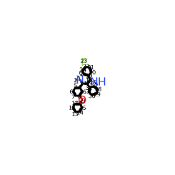 CN(C)C(c1cccc(Oc2ccccc2)c1)c1c(-c2ccc(F)cc2)[nH]c2ccccc12